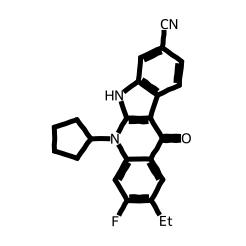 CCc1cc2c(=O)c3c4ccc(C#N)cc4[nH]c3n(C3CCCC3)c2cc1F